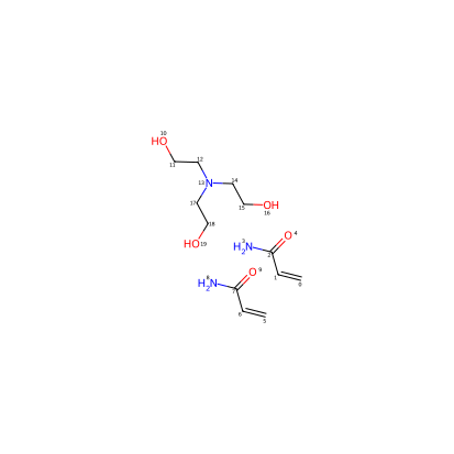 C=CC(N)=O.C=CC(N)=O.OCCN(CCO)CCO